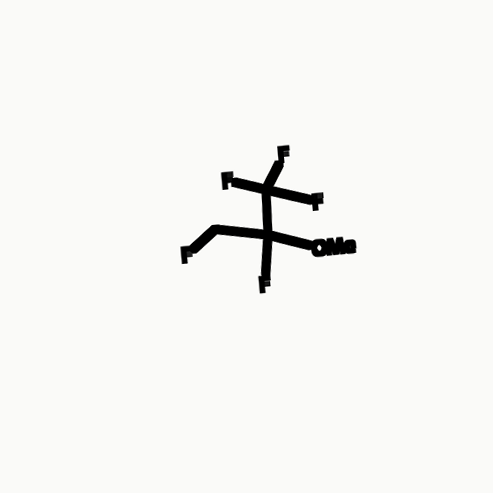 COC(F)(CF)C(F)(F)F